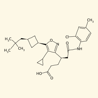 Cc1ccc(NC(=O)C[C@@H](CCC(=O)O)c2noc([C@H]3C[C@@H](CC(C)(C)C)C3)c2C2CC2)c(Cl)c1